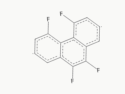 Fc1c(F)c2c[c]cc(F)c2c2c(F)c[c]cc12